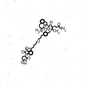 C[C@@H](OCc1ccc(CCCOCCCCCc2cccc3c2n(C)c(=O)n3C2CCC(=O)NC2=O)cc1)[C@H](CCC(N)=O)NC(=O)[C@@H]1Cc2cccc3c2N1C(=O)[C@@H](N)CC3